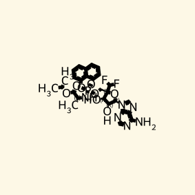 CC(C)OC(=O)[C@H](C)NP(=O)(OC[C@@]1(C(F)F)O[C@@H](n2cnc3c(N)ncnc32)[C@H](O)[C@H]1O)Oc1cccc2ccccc12